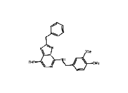 COc1ccc(CNc2ncc(C=O)c3nc(Cc4ccccc4)nn23)cc1OC